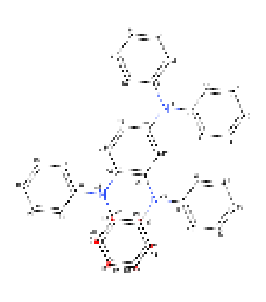 c1ccc(N(c2ccccc2)c2ccc(N(c3ccccc3)c3ccccc3)c(N(c3ccccc3)c3ccccc3)c2)cc1